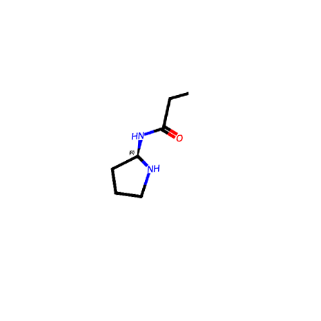 CCC(=O)N[C@@H]1CCCN1